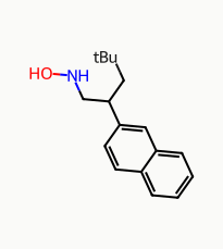 CC(C)(C)CC(CNO)c1ccc2ccccc2c1